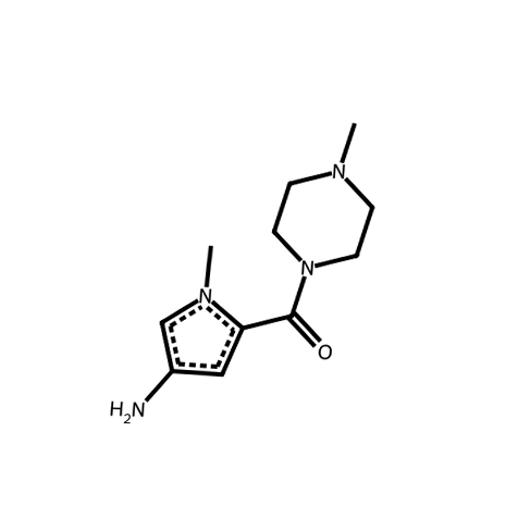 CN1CCN(C(=O)c2cc(N)cn2C)CC1